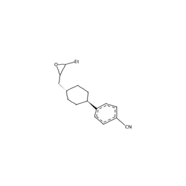 CCC1OC1C[C@H]1CC[C@H](c2ccc(C#N)cc2)CC1